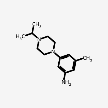 Cc1cc(N)cc(N2CCN(C(C)C)CC2)c1